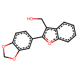 OCc1c(-c2ccc3c(c2)OCO3)oc2ccccc12